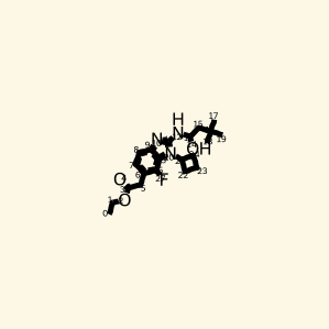 CCOC(=O)Cc1ccc2nc(NC(O)CC(C)(C)C)n(C3CCC3)c2c1F